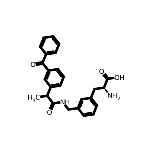 CC(C(=O)NCc1cccc(C[C@H](N)C(=O)O)c1)c1cccc(C(=O)c2ccccc2)c1